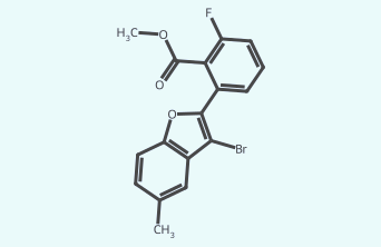 COC(=O)c1c(F)cccc1-c1oc2ccc(C)cc2c1Br